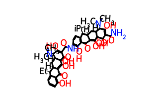 CC[C@H]1c2cccc(O)c2C(=O)C2=C(O)[C@]3(O)C(=O)C(C(=O)Nc4ccc5c(c4O)C(=O)C4=C(O)[C@]6(O)C(=O)C(C(N)=O)=C(O)[C@@H](N(C)C)[C@@H]6C[C@@H]4[C@H]5C(C)C)=C(O)[C@@H](N(C)C)[C@@H]3C[C@@H]21